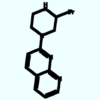 CC(C)C1CN(c2ccc3cccnc3n2)CCN1